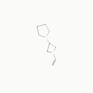 O=CN1CC(N2CCCC2)C1